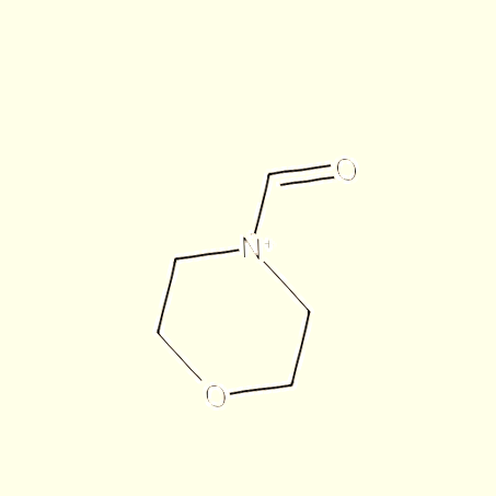 O=C[N+]1CCOCC1